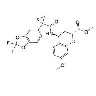 COC(=O)[C@H]1C[C@H](NC(=O)C2(c3ccc4c(c3)OC(F)(F)O4)CC2)c2ccc(OC)cc2O1